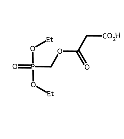 CCOP(=O)(COC(=O)CC(=O)O)OCC